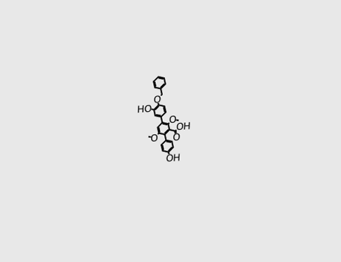 COc1cc(-c2ccc(OCc3ccccc3)c(O)c2)c(OC)c(C(=O)O)c1-c1ccc(O)cc1